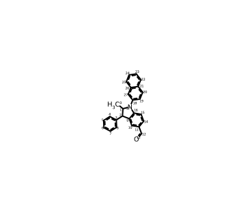 CC1C(c2ccccc2)c2cc(C=O)ccc2N1c1ccc2ccccc2c1